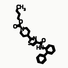 CCCCOC(=O)N1CCC(c2nc(C(=O)Nc3ccccc3-c3ccccc3)cs2)CC1